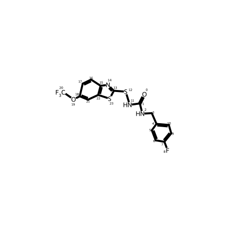 O=C(NCc1ccc(F)cc1)NSc1nc2ccc(OC(F)(F)F)cc2s1